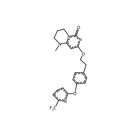 CN1CCCn2c1cc(OCCc1ccc(Oc3cccc(C(F)(F)F)n3)cc1)nc2=O